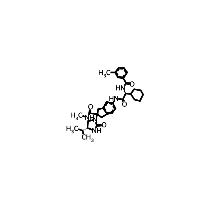 CNC(=O)C1(N2C[C@@H](C(C)C)NC2=O)Cc2ccc(NC(=O)[C@@H](NC(=O)c3cccc(C)c3)C3CCCCC3)cc2C1